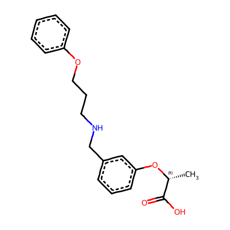 C[C@@H](Oc1cccc(CNCCCOc2ccccc2)c1)C(=O)O